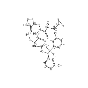 CC(C)CC(NC(=O)OC(c1cccc(Cl)c1)C(F)(F)c1cccc(Cl)c1)C(=O)NC(CC1CCNC1=O)C(=O)C(=O)NC1CC1